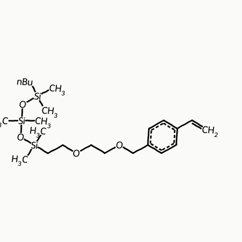 C=Cc1ccc(COCCOCC[Si](C)(C)O[Si](C)(C)O[Si](C)(C)CCCC)cc1